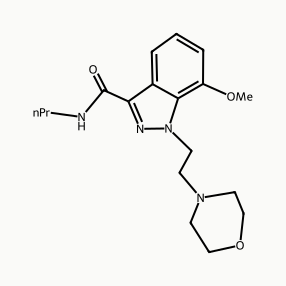 CCCNC(=O)c1nn(CCN2CCOCC2)c2c(OC)cccc12